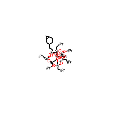 CC(C)C[Si]12C[Si]3(CC(C)C)O[Si]4(CCC5CCC6CC6C5)O[Si](CC(C)C)(O1)O[Si]1(CC(C)C)O[Si](CC(C)C)(O2)O[Si](CC(C)C)(O3)O[Si](OC(C)C)(O4)O1